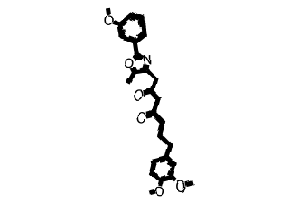 COc1cccc(-c2nc(CC(=O)CC(=O)CCCc3ccc(OC)c(OC)c3)c(C)o2)c1